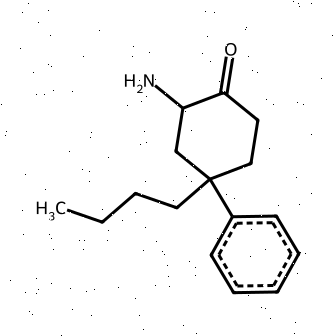 CCCCC1(c2ccccc2)CCC(=O)C(N)C1